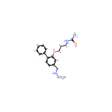 O=C(O)NCc1ccc(-c2ccccc2)c(OCCCNC(=O)C(F)(F)F)c1